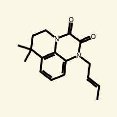 C/C=C/Cn1c(=O)c(=O)n2c3c(cccc31)C(C)(C)CC2